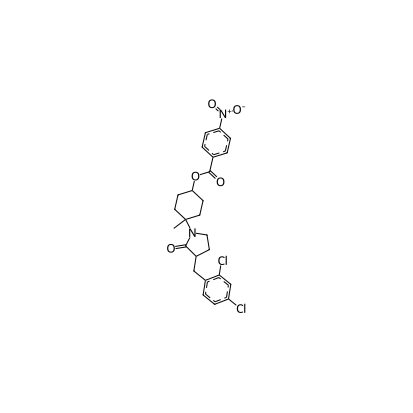 CC1(N2CCC(Cc3ccc(Cl)cc3Cl)C2=O)CCC(OC(=O)c2ccc([N+](=O)[O-])cc2)CC1